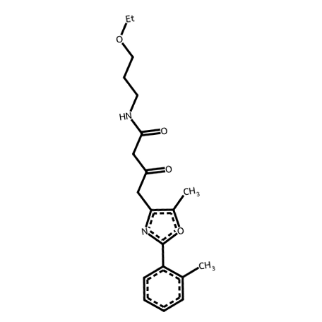 CCOCCCNC(=O)CC(=O)Cc1nc(-c2ccccc2C)oc1C